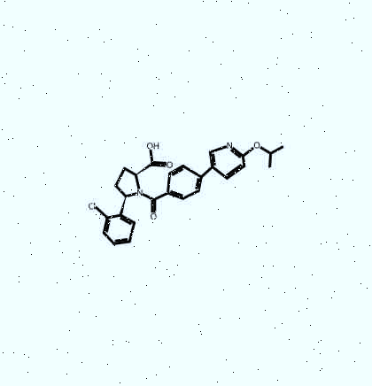 CC(C)Oc1ccc(-c2ccc(C(=O)N3[C@@H](c4ccccc4Cl)CC[C@H]3C(=O)O)cc2)cn1